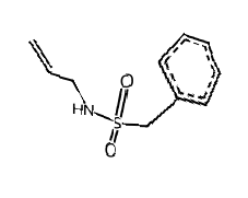 C=CCNS(=O)(=O)Cc1ccccc1